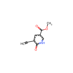 C#Cc1cc(C(=O)OC)c[nH]c1=O